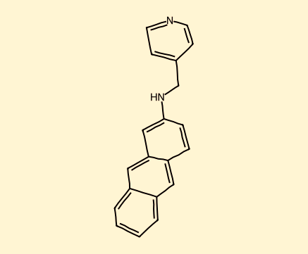 c1ccc2cc3cc(NCc4ccncc4)ccc3cc2c1